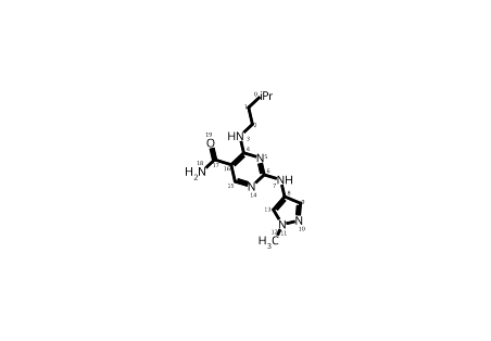 CC(C)CCNc1nc(Nc2cnn(C)c2)ncc1C(N)=O